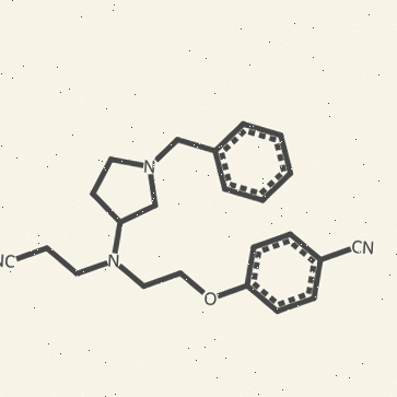 N#CCCN(CCOc1ccc(C#N)cc1)C1CCN(Cc2ccccc2)C1